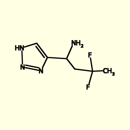 CC(F)(F)CC(N)c1c[nH]nn1